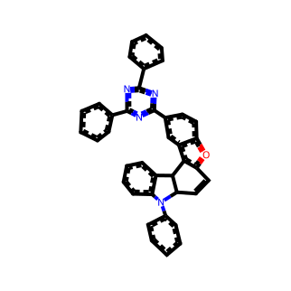 C1=CC2C(c3ccccc3N2c2ccccc2)c2c1oc1ccc(-c3nc(-c4ccccc4)nc(-c4ccccc4)n3)cc21